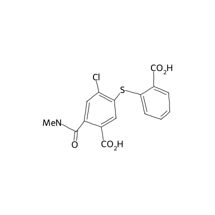 CNC(=O)c1cc(Cl)c(Sc2ccccc2C(=O)O)cc1C(=O)O